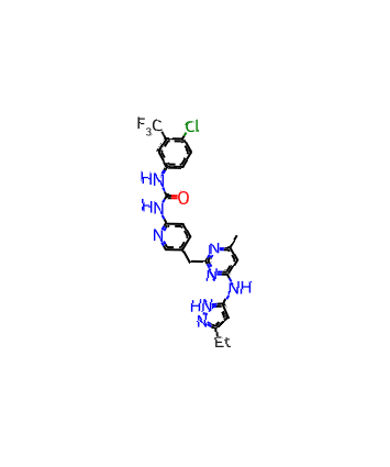 CCc1cc(Nc2cc(C)nc(Cc3ccc(NC(=O)Nc4ccc(Cl)c(C(F)(F)F)c4)nc3)n2)[nH]n1